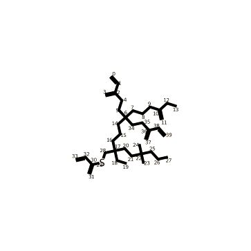 C=CC(=C)CCC(CCCC(=C)CC)(CCCC(CC)(CCC(C)(C)CCC)CSC(=C)C=C)CCC(=C)C=C